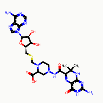 CC1(C)Nc2nc(N)[nH]c(=O)c2N=C1C(=O)NN1CCN(CSC[C@H]2O[C@@H](n3cnc4c(N)ncnc43)[C@@H](O)C2O)C(C(=O)O)C1